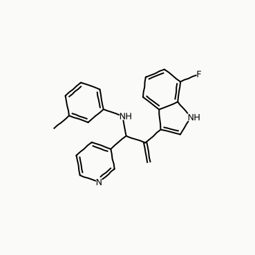 C=C(c1c[nH]c2c(F)cccc12)C(Nc1cccc(C)c1)c1cccnc1